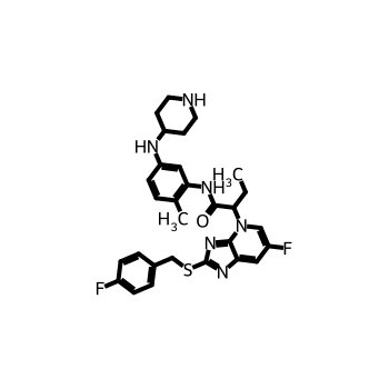 CCC(C(=O)Nc1cc(NC2CCNCC2)ccc1C)n1cc(F)cc2nc(SCc3ccc(F)cc3)nc1-2